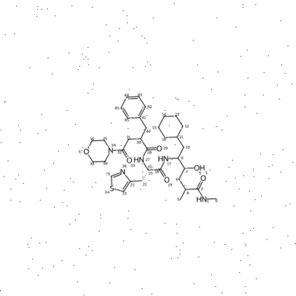 CNC(=O)C(C)CC(O)C(CC1CCCCC1)NC(=O)[C@H](Cc1cscn1)NC(=O)C(CC(=O)N1CCOCC1)Cc1ccccc1